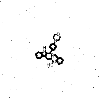 O=C(O)[C@H]1Cc2c([nH]c3ccccc23)C(c2ccc(N3CCOCC3)cc2)N1Cc1ccccc1